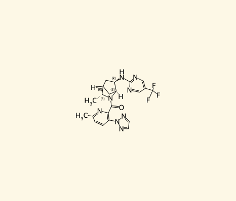 Cc1ccc(-n2nccn2)c(C(=O)N2[C@H](C)[C@@H]3C[C@@H](Nc4ncc(C(F)(F)F)cn4)[C@@H]2C3)n1